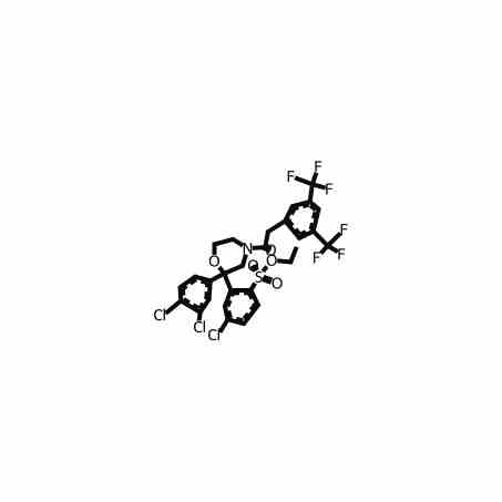 CCOS(=O)(=O)c1ccc(Cl)cc1C1(c2ccc(Cl)c(Cl)c2)CN(C(=O)Cc2cc(C(F)(F)F)cc(C(F)(F)F)c2)CCO1